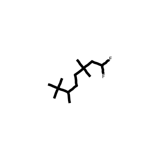 CC(CCC(C)(C)CC(F)F)C(C)(C)C